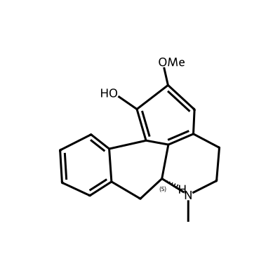 COc1cc2c3c(c1O)-c1ccccc1C[C@@H]3N(C)CC2